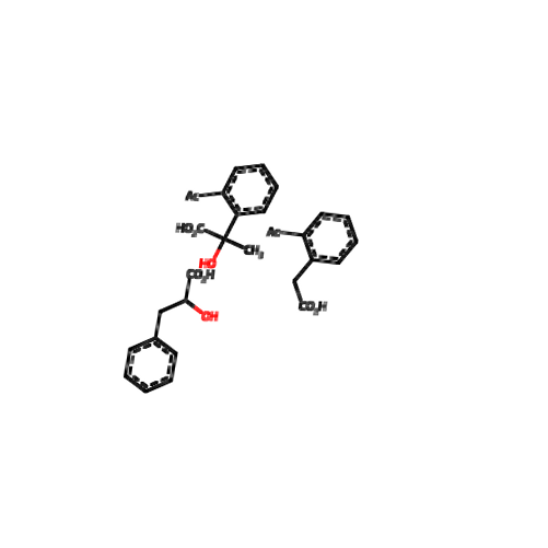 CC(=O)c1ccccc1C(C)(O)C(=O)O.CC(=O)c1ccccc1CC(=O)O.O=C(O)C(O)Cc1ccccc1